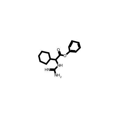 N=C(N)NC(C(=O)Oc1ccccc1)C1CCCCC1